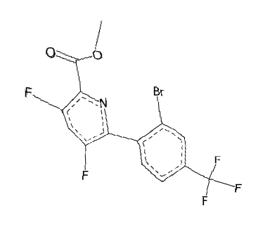 COC(=O)c1nc(-c2ccc(C(F)(F)F)cc2Br)c(F)cc1F